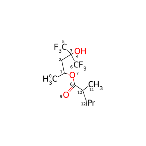 CC(CC(O)(C(F)(F)F)C(F)(F)F)OC(=O)C(C)C(C)C